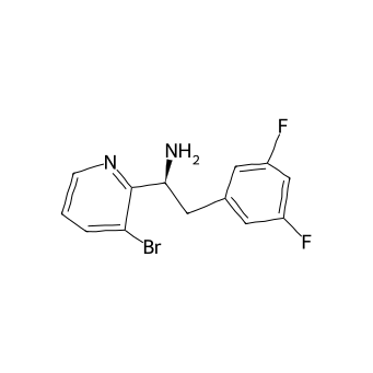 N[C@@H](Cc1cc(F)cc(F)c1)c1ncccc1Br